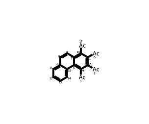 CC(=O)c1c(C(C)=O)c(C(C)=O)c2c(ccc3ccccc32)c1C(C)=O